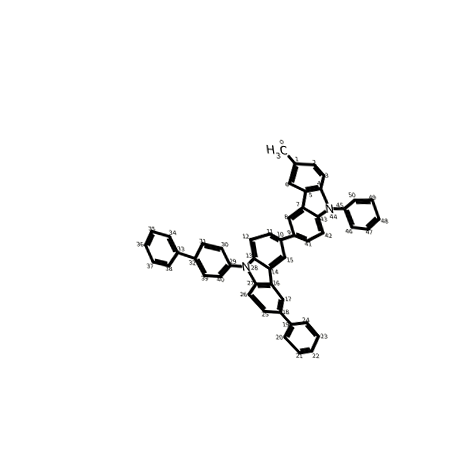 Cc1ccc2c(c1)c1cc(-c3ccc4c(c3)c3cc(-c5ccccc5)ccc3n4-c3ccc(-c4ccccc4)cc3)ccc1n2-c1ccccc1